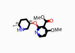 COC(=O)c1c(OC)ccnc1O[C@@H]1CC[C@@H](C)NC1